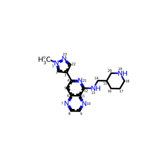 Cn1cc(-c2cc3nccnc3c(NCC3CCCNC3)n2)cn1